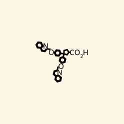 O=C(O)C1CCC(c2ccc(OCc3ccc4ccccc4n3)cc2)(c2ccc(OCc3ccc4ccccc4n3)cc2)C1